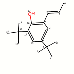 CC=Cc1cc(C(C)(C)C)cc(C(C)(C)C)c1O